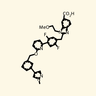 COCCn1c(Cc2cc(F)c(-c3cccc(OCc4cccc(-c5cnn(C)c5)c4)n3)cc2F)nc2ccc(C(=O)O)cc21